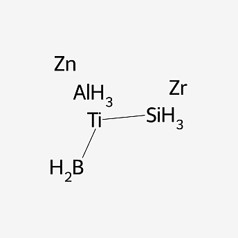 [AlH3].[BH2][Ti][SiH3].[Zn].[Zr]